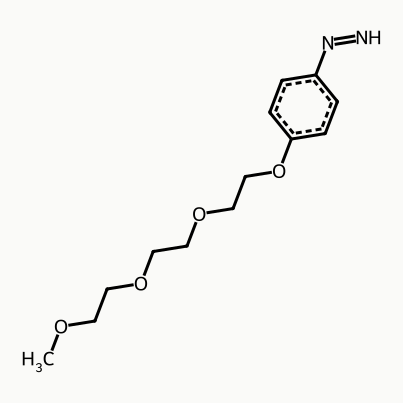 COCCOCCOCCOc1ccc(N=N)cc1